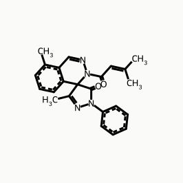 CC(C)=CC(=O)N1N=Cc2c(C)cccc2C12C(=O)N(c1ccccc1)N=C2C